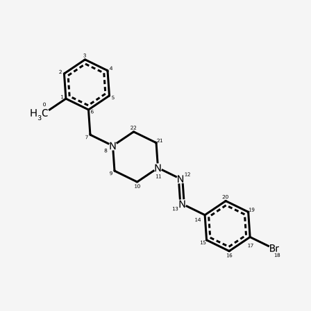 Cc1ccccc1CN1CCN(/N=N/c2ccc(Br)cc2)CC1